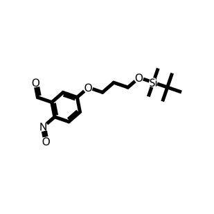 CC(C)(C)[Si](C)(C)OCCCOc1ccc(N=O)c(C=O)c1